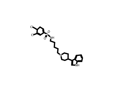 O=S(=O)(NCCCCCN1CCC(c2c[nH]c3ccccc23)CC1)C1=CCC(Cl)C(Cl)=C1